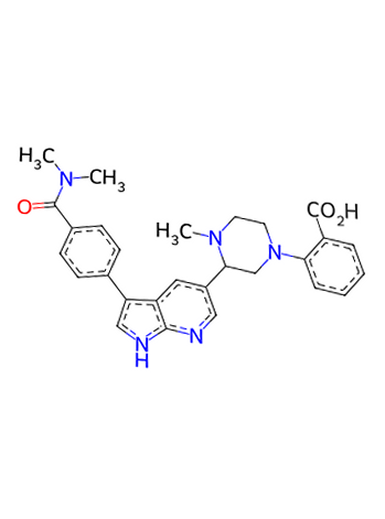 CN(C)C(=O)c1ccc(-c2c[nH]c3ncc(C4CN(c5ccccc5C(=O)O)CCN4C)cc23)cc1